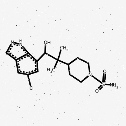 CC(C)(C1CCN(S(N)(=O)=O)CC1)C(O)c1cc(Cl)cc2cn[nH]c12